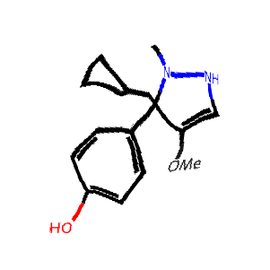 COC1=CNN(C)C1(c1ccc(O)cc1)C1CC1